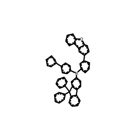 c1ccc(-c2ccc(N(c3cccc(-c4ccc5oc6ccccc6c5c4)c3)c3ccc4c(c3)C(c3ccccc3)(c3ccccc3)c3ccccc3-4)cc2)cc1